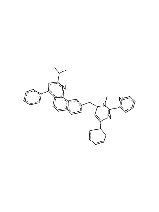 CC(C)c1cc(-c2ccccc2)c2ccc3ccc(CC4C=C(C5C=CC=CC5)N=C(c5ccccn5)N4C)cc3c2n1